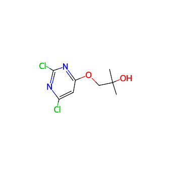 CC(C)(O)COc1cc(Cl)nc(Cl)n1